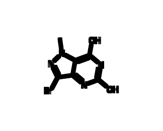 Cn1nc(Br)c2nc(O)nc(O)c21